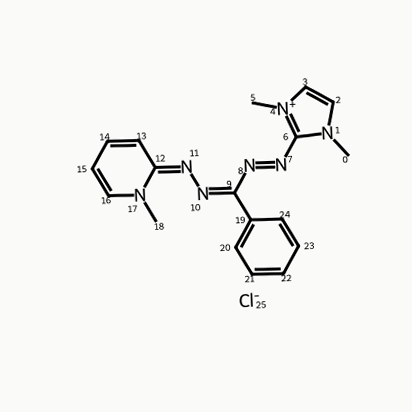 Cn1cc[n+](C)c1N=NC(=NN=c1ccccn1C)c1ccccc1.[Cl-]